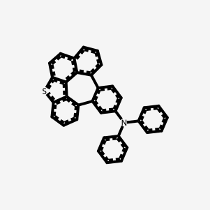 c1ccc(N(c2ccccc2)c2ccc3c(c2)-c2cccc4sc5ccc6cccc-3c6c5c24)cc1